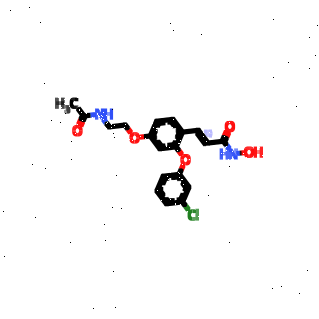 CC(=O)NCCOc1ccc(/C=C/C(=O)NO)c(Oc2cccc(Cl)c2)c1